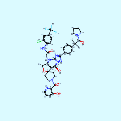 C[C@H]1OC2(CCN(C(=O)c3ncccc3O)CC2)c2c1n(CC(=O)Nc1ccc(C(F)(F)F)cc1Cl)c1nc(-c3ccc(C(C)(C)C(=O)N4CCCC4)cc3)nn1c2=O